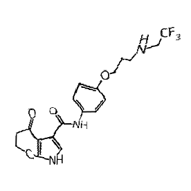 O=C(Nc1ccc(OCCCNCC(F)(F)F)cc1)c1c[nH]c2c1C(=O)CCC2